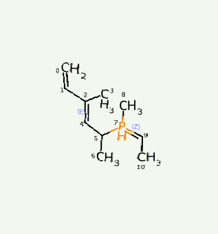 C=C/C(C)=C/C(C)/[PH](C)=C\C